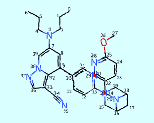 CCCN(CCC)c1cc(-c2ccc(N3CC4CC(C3)N4Cc3ccc(OC)nc3)nc2)c2c(C#N)cnn2c1